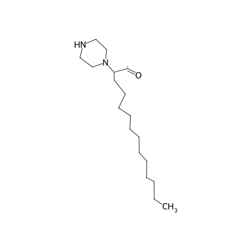 CCCCCCCCCCCCC([C]=O)N1CCNCC1